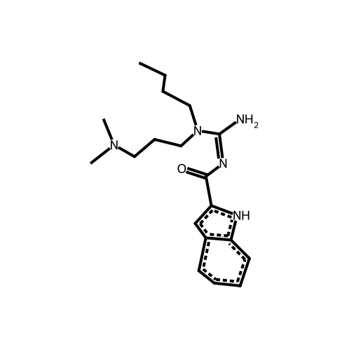 CCCCN(CCCN(C)C)C(N)=NC(=O)c1cc2ccccc2[nH]1